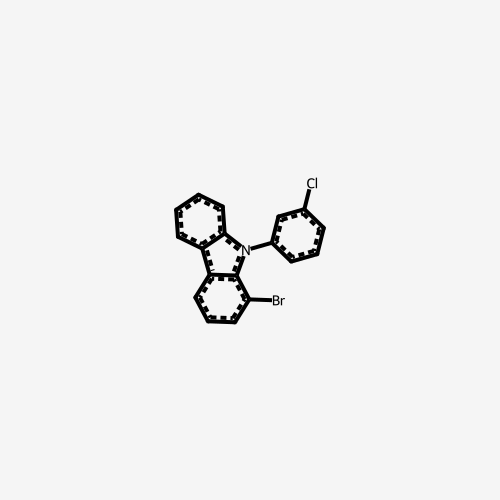 Clc1cccc(-n2c3ccccc3c3cccc(Br)c32)c1